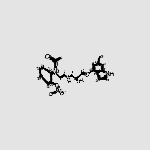 CC(=O)N(CCNCC(O)COc1cc(C)cc2[nH]ccc12)C1CCCCC1O[N+](=O)[O-]